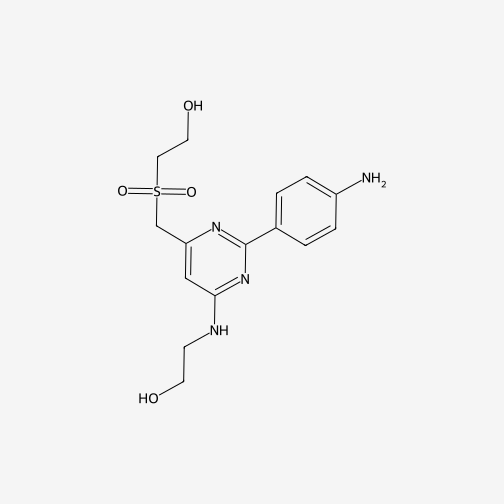 Nc1ccc(-c2nc(CS(=O)(=O)CCO)cc(NCCO)n2)cc1